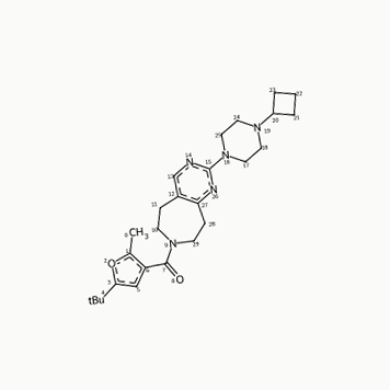 Cc1oc(C(C)(C)C)cc1C(=O)N1CCc2cnc(N3CCN(C4CCC4)CC3)nc2CC1